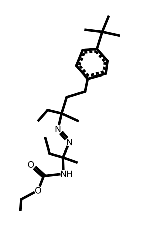 CCOC(=O)NC(C)(CC)/N=N/C(C)(CC)CCc1ccc(C(C)(C)C)cc1